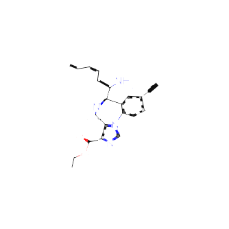 C#Cc1ccc2c(c1)C(/C(N)=C/C=C\C=C)=N[C@@H](C)c1c(C(=O)OCC)ncn1-2